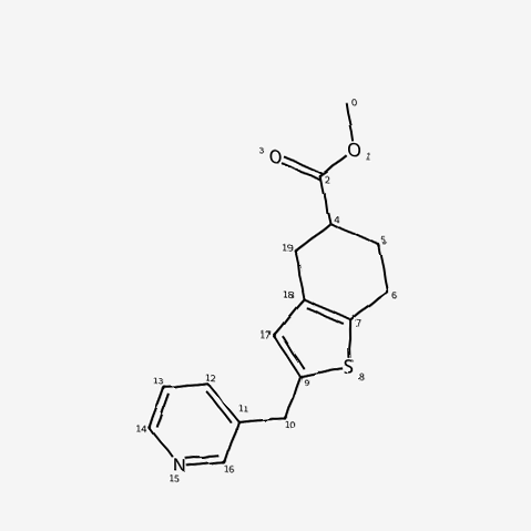 COC(=O)C1CCc2sc(Cc3cccnc3)cc2C1